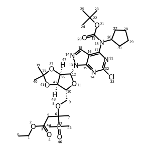 CCOC(=O)CC(C)(OC[C@H]1O[C@@H](n2ncc3c(N(C(=O)OC(C)(C)C)C4CCCC4)nc(Cl)nc32)[C@@H]2OC(C)(C)O[C@@H]21)P(C)(C)=O